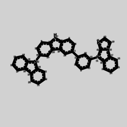 c1cc(-c2ccc3[nH]c4ccc(-n5c6ccccc6c6ccccc65)cc4c3c2)cc(-n2c3ccccc3n3ccnc23)c1